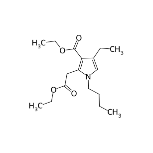 CCCCn1cc(CC)c(C(=O)OCC)c1CC(=O)OCC